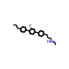 CCCc1ccc(-c2ccc(-c3ccc(CCCNCC)cc3)cc2F)cc1